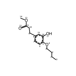 CCCCOc1ccc(CCC(=O)OC)cc1O